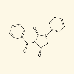 O=C1CN(c2ccccc2)C(=O)N1C(=O)c1ccccc1